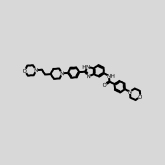 O=C(Nc1ccc2[nH]c(-c3ccc(N4CCC(CCN5CCOCC5)CC4)cc3)nc2c1)c1ccc(N2CCOCC2)cc1